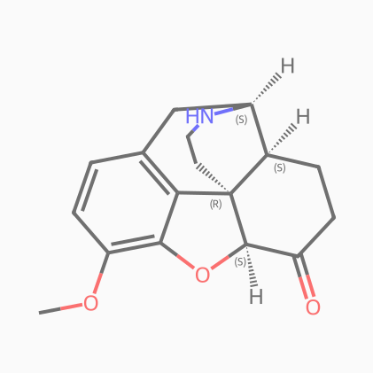 COc1ccc2c3c1O[C@@H]1C(=O)CC[C@@H]4[C@H](C2)NCC[C@@]314